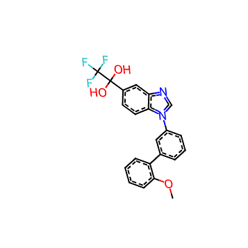 COc1ccccc1-c1cccc(-n2cnc3cc(C(O)(O)C(F)(F)F)ccc32)c1